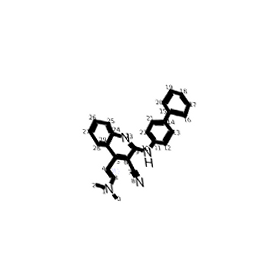 CN(C)/C=C/c1c(C#N)c(Nc2ccc(-c3ccccc3)cc2)nc2ccccc12